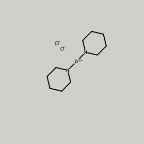 C1CC[N]([Zr+2][N]2CCCCC2)CC1.[Cl-].[Cl-]